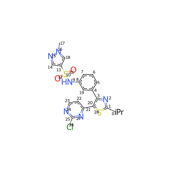 CC(C)c1nc(-c2cccc(NS(=O)(=O)c3cnn(C)c3)c2)c(-c2ccnc(Cl)n2)s1